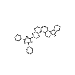 c1ccc(-c2nc(-c3ccccc3)nc(-c3ccc4c(ccc5ccc6c(ccc7sc8ccccc8c76)c54)c3)n2)cc1